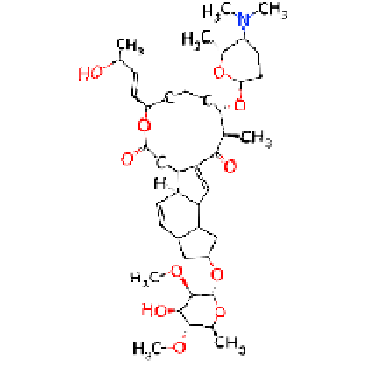 CO[C@@H]1[C@@H](O)[C@@H](OC)[C@H](OC2CC3C=C[C@H]4C5CC(=O)O[C@@H](/C=C/C(C)O)CCC[C@H](OC6CC[C@H](N(C)C)[C@@H](C)O6)[C@@H](C)C(=O)C5=CC4C3C2)O[C@H]1C